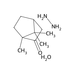 CC12CCC(CC1=O)C2(C)C.NN.O